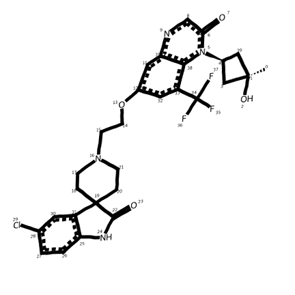 C[C@]1(O)C[C@@H](n2c(=O)cnc3cc(OCCN4CCC5(CC4)C(=O)Nc4ccc(Cl)cc45)cc(C(F)(F)F)c32)C1